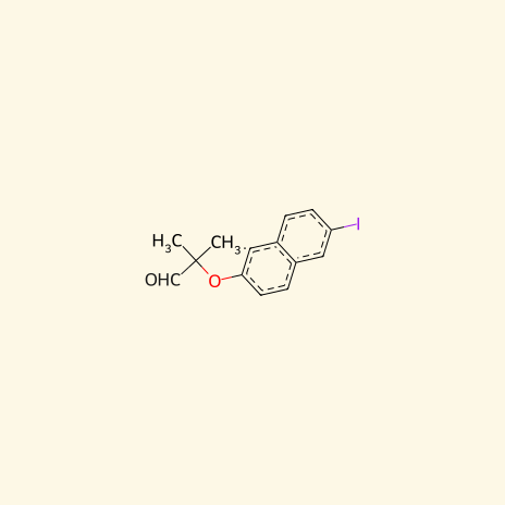 CC(C)(C=O)Oc1[c]c2ccc(I)cc2cc1